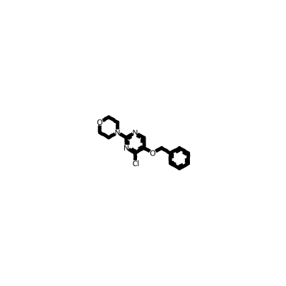 Clc1nc(N2CCOCC2)ncc1OCc1ccccc1